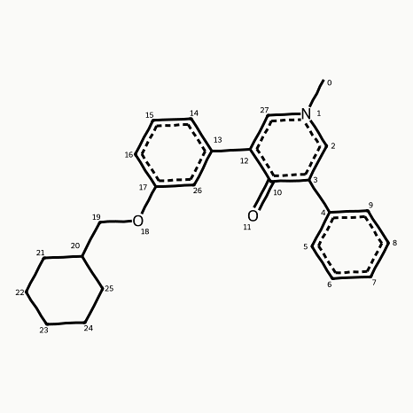 Cn1cc(-c2ccccc2)c(=O)c(-c2cccc(OCC3CCCCC3)c2)c1